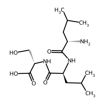 CC(C)C[C@H](NC(=O)[C@@H](N)CC(C)C)C(=O)N[C@@H](CO)C(=O)O